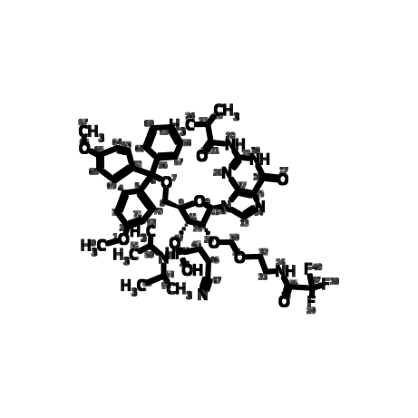 COc1ccc(C(OC[C@H]2O[C@@H](n3cnc4c(=O)[nH]c(NC(=O)C(C)C)nc43)[C@H](OCOCCNC(=O)C(F)(F)F)[C@@H]2O[PH](O)(CCC#N)N(C(C)C)C(C)C)(c2ccccc2)c2ccc(OC)cc2)cc1